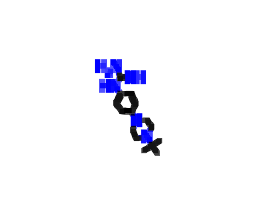 CC(C)(C)N1CCN(c2ccc(NC(=N)N)cc2)CC1